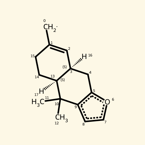 [CH2]C1=C[C@H]2Cc3occc3C(C)(C)[C@H]2CC1